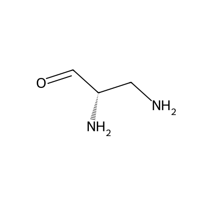 NC[C@H](N)C=O